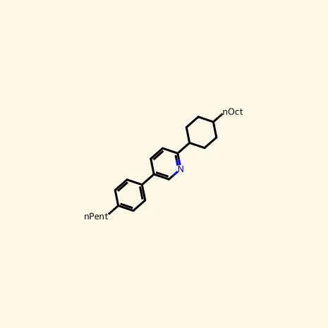 CCCCCCCCC1CCC(c2ccc(-c3ccc(CCCCC)cc3)cn2)CC1